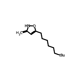 C=C1C=C(CCCCCCC(C)(C)C)ON1